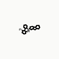 CC(C)c1cccc(C(C)C)c1-c1ccccc1N(Br)c1ccc2c(c1)Cc1ccccc1-2